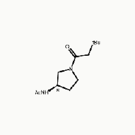 CC(=O)N[C@@H]1CCN(C(=O)CC(C)(C)C)C1